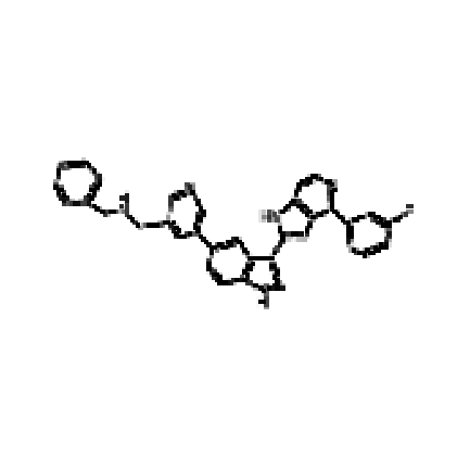 Fc1cccc(-c2nccc3[nH]c(-c4n[nH]c5ccc(-c6cncc(CNCc7ccccc7)c6)cc45)cc23)c1